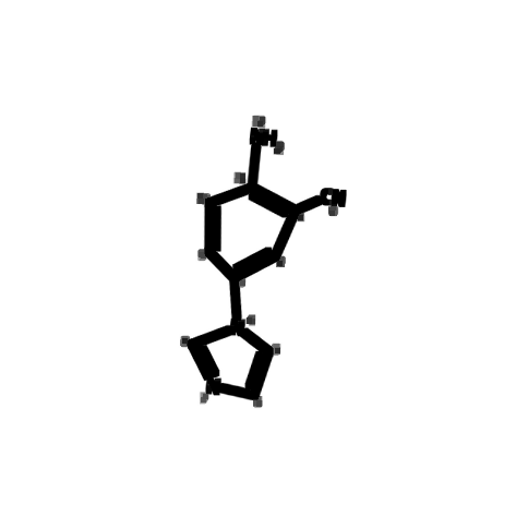 N#Cc1cc(-n2ccnc2)ccc1N